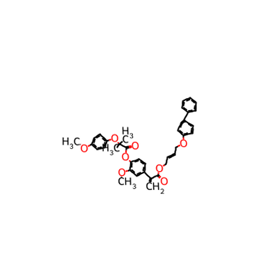 C=C(C(=O)OCC=CCOc1ccc(-c2ccccc2)cc1)c1ccc(OC(=O)C(C)(C)Oc2ccc(OC)cc2)c(OC)c1